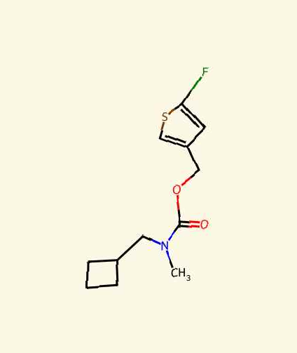 CN(CC1CCC1)C(=O)OCc1csc(F)c1